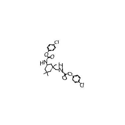 CC1(C)CC(NC(=O)Oc2ccc(Cl)cc2)CC(C)(CNC(=O)Oc2ccc(Cl)cc2)C1